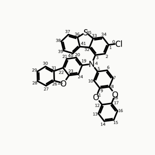 Clc1cc(N(c2ccc3c(c2)Oc2ccccc2O3)c2ccc3c(c2)oc2ccccc23)c2c(c1)sc1ccccc12